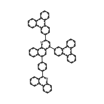 c1ccc2c(c1)nc(-c1ccc(-c3cc4c(-c5ccc6c7ccccc7c7ccccc7c6c5)cc(-c5ccc6c7ccccc7c7ccccc7c6c5)nc4c4ccccc34)cc1)c1ccccc12